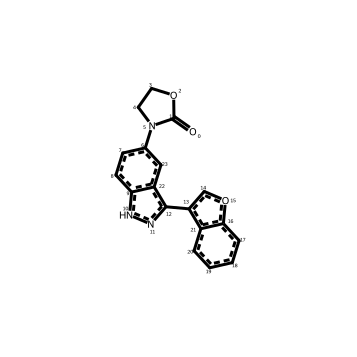 O=C1OCCN1c1ccc2[nH]nc(-c3coc4ccccc34)c2c1